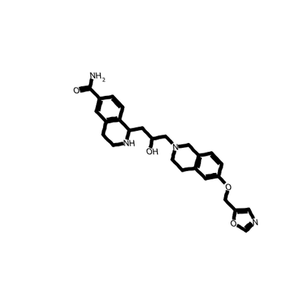 NC(=O)c1ccc2c(c1)CCNC2CC(O)CN1CCc2cc(OCc3cnco3)ccc2C1